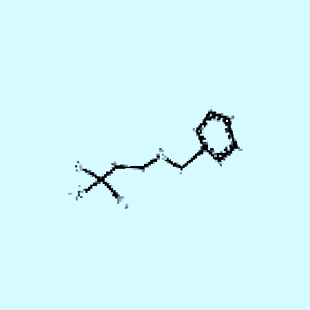 CC(F)(Cl)CCOCc1ccccc1